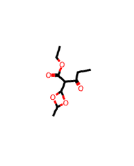 CCOC(=O)C(C(=O)CC)C1OC(C)O1